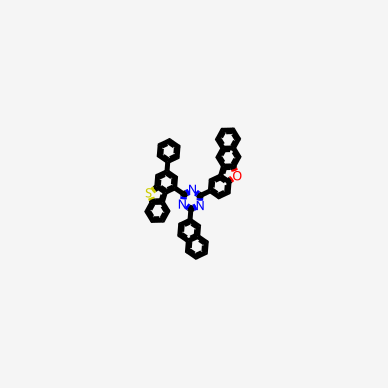 c1ccc(-c2cc(-c3nc(-c4ccc5ccccc5c4)nc(-c4ccc5oc6cc7ccccc7cc6c5c4)n3)c3c(c2)sc2ccccc23)cc1